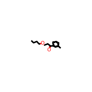 CCCCOCCC(=O)c1cccc(C)c1